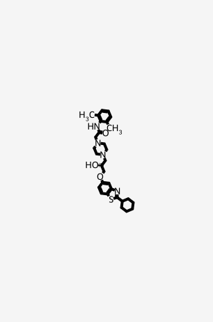 Cc1cccc(C)c1NC(=O)CN1CCN(C[C@H](O)COc2ccc3sc(C4CCCCC4)nc3c2)CC1